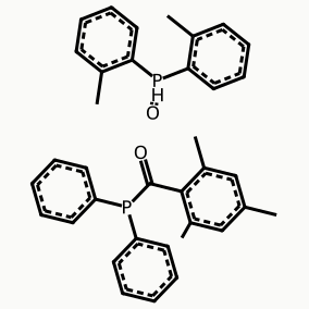 Cc1cc(C)c(C(=O)P(c2ccccc2)c2ccccc2)c(C)c1.Cc1ccccc1[PH](=O)c1ccccc1C